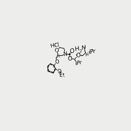 CCOc1ccccc1OC[C@@H]1CN(C(=O)OC(OC[C@H](N)C(C)C)C(C)C)CCO1.Cl